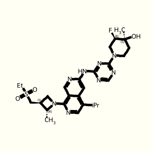 CCS(=O)(=O)C[C@H]1CN(c2ncc(C(C)C)c3cc(Nc4ncnc(N5CC[C@](C)(O)[C@H](F)C5)n4)ncc23)[C@@H]1C